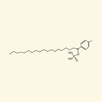 CCCCCCCCCCCCCCCCCCN(OP(=O)(O)O)c1ccc(C)cc1